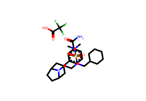 CN(C)S(=O)(=O)N(CCN1C2CCC1CC(c1cccc(C(N)=O)c1)C2)CC1CCCCC1.O=C(O)C(F)(F)F